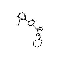 Cc1ccccc1-c1ccc(C(=O)OCC2CCCCC2)cc1